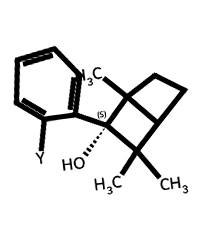 CC1(C)C2CCC2(C)[C@]1(O)c1cccc[c]1[Y]